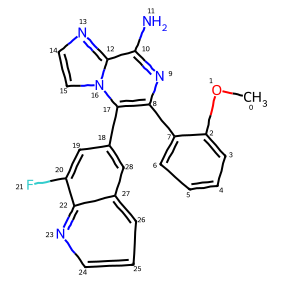 COc1ccccc1-c1nc(N)c2nccn2c1-c1cc(F)c2ncccc2c1